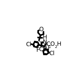 CC(C)(C[C@@H]1N[C@@H](C(=O)O)[C@H](c2cccc(Cl)c2F)[C@@]1(C#N)c1ccc(Cl)cc1F)C1CCOCC1